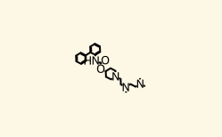 CN(C)CCN(C)CCN1CCC(OC(=O)Nc2ccccc2-c2ccccc2)CC1